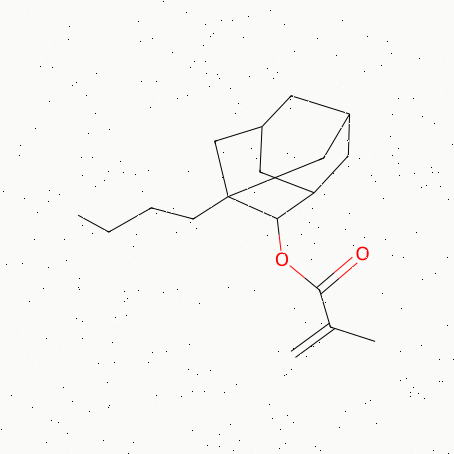 C=C(C)C(=O)OC1C2CC3CC(C2)CC1(CCCC)C3